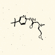 COCCN(C)CC(=O)Nc1ccc(C(C)(C)C)cn1